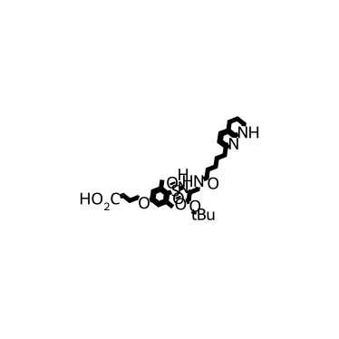 Cc1cc(OCCCC(=O)O)cc(C)c1S(=O)(=O)NC(CNC(=O)CCCCc1ccc2c(n1)NCCC2)C(=O)OC(C)(C)C